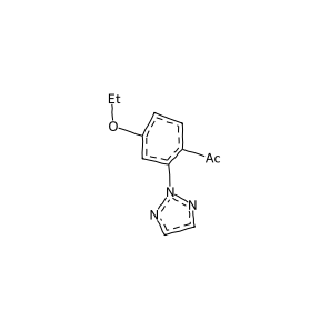 CCOc1ccc(C(C)=O)c(-n2nccn2)c1